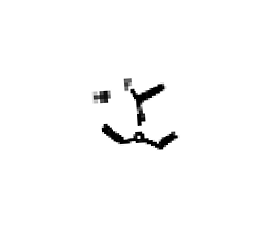 C=C(F)F.C=COC=C.F